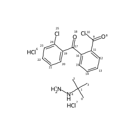 CC(C)(C)NN.Cl.Cl.O=C(Cl)c1ccccc1C(=O)c1ccccc1Cl